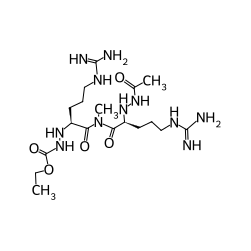 CCOC(=O)NN[C@@H](CCCNC(=N)N)C(=O)N(C)C(=O)[C@H](CCCNC(=N)N)NNC(C)=O